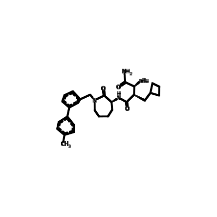 CCCC[C@H](C(N)=O)[C@@H](CC1CCC1)C(=O)N[C@H]1CCCCN(Cc2cccc(-c3ccc(C)cc3)c2)C1=O